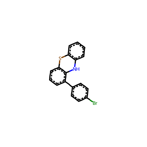 Brc1ccc(-c2cccc3c2Nc2ccccc2S3)cc1